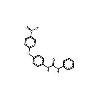 O=C(Nc1ccccc1)Nc1ccc(Oc2ccc([N+](=O)[O-])cc2)cc1